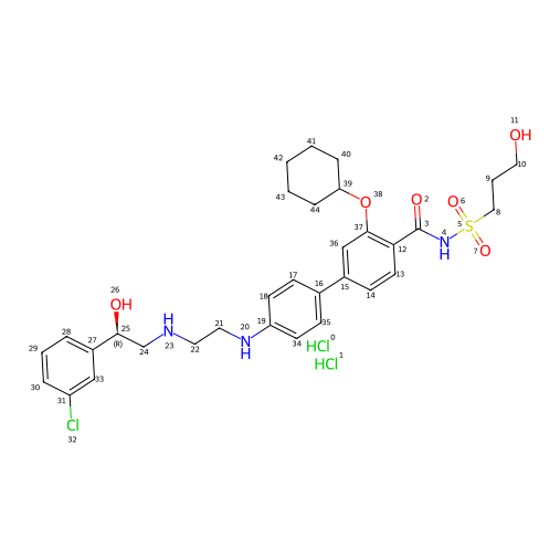 Cl.Cl.O=C(NS(=O)(=O)CCCO)c1ccc(-c2ccc(NCCNC[C@H](O)c3cccc(Cl)c3)cc2)cc1OC1CCCCC1